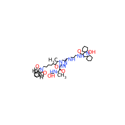 CC(NCCO)C(=O)CCN(C/C(=C/NCCCNC(=O)C1CC2(CCCCC2)N(O)C12CCCCC2)N=N)C(C)C(=O)CCCCCN1C(=O)[C@@H]2[C@H](C1=O)[C@H]1C=C[C@@H]2C1